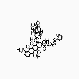 CO[C@H]1OCCN2[C@@H]1O[C@@H]1[C@H](C)O[C@@H](O[C@H]3C[C@](O)(C(=O)NCC(C)(C)SSc4ccccn4)Cc4c(O)c5c(c(O)c43)C(=O)c3c(N)cccc3C5=O)C[C@@H]12